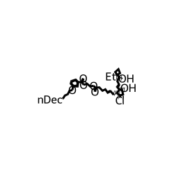 CCCCCCCCCCCCCCOc1cccc(C(=O)OCCOC(=O)CCCC=CC[C@@H]2C(C=CC[C@H](O)C3(CC)CCC3)[C@H](O)C[C@H]2Cl)c1